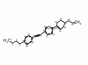 CCCCc1ccc(C#Cc2ccc(C3=CCC(CCC)CC3)cc2)cc1